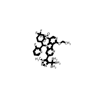 BC(B)(B)c1nnn(C)c1-c1cnc2c3c(OCC)ncc(S(C)(=O)=O)c3n(C(c3ncccc3F)C3CCC(F)(F)CC3)c2c1